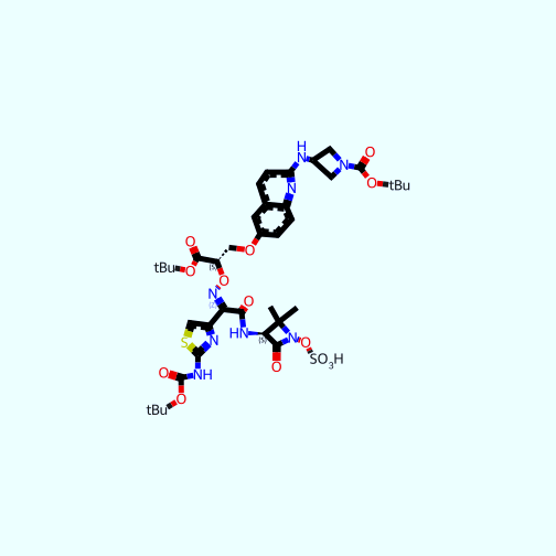 CC(C)(C)OC(=O)Nc1nc(/C(=N/O[C@@H](COc2ccc3nc(NC4CN(C(=O)OC(C)(C)C)C4)ccc3c2)C(=O)OC(C)(C)C)C(=O)N[C@@H]2C(=O)N(OS(=O)(=O)O)C2(C)C)cs1